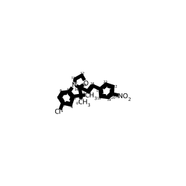 CC1(C)c2cc(Cl)ccc2N2CCOC21C=Cc1ccc([N+](=O)[O-])cc1